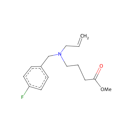 C=CCN(CCCC(=O)OC)Cc1ccc(F)cc1